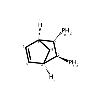 P[C@@H]1[C@@H](P)[C@H]2C=C[C@@H]1C2